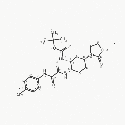 CC(C)(C)OC(=O)N[C@@H]1C[C@@H](N2CCOC2=O)CC[C@@H]1NC(=O)C(=O)Nc1ccc(Cl)cn1